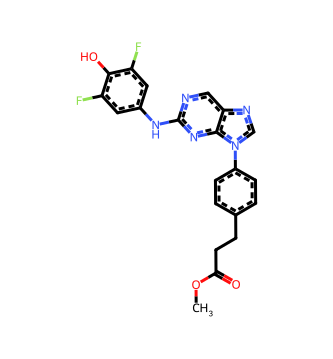 COC(=O)CCc1ccc(-n2cnc3cnc(Nc4cc(F)c(O)c(F)c4)nc32)cc1